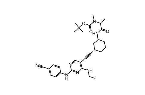 CCNc1nc(Nc2ccc(C#N)cc2)ncc1C#C[C@@H]1CCC[C@H](NC(=O)[C@H](C)N(C)C(=O)OC(C)(C)C)C1